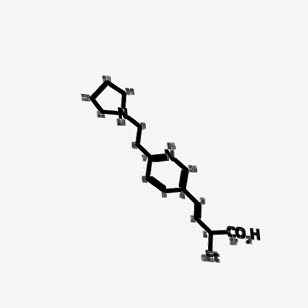 CCC(C=Cc1ccc(CCN2CCCC2)nc1)C(=O)O